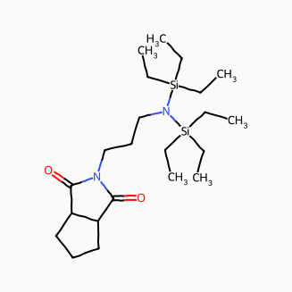 CC[Si](CC)(CC)N(CCCN1C(=O)C2CCCC2C1=O)[Si](CC)(CC)CC